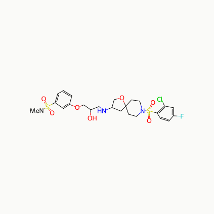 CNS(=O)(=O)c1cccc(OCC(O)CNC2COC3(CCN(S(=O)(=O)c4ccc(F)cc4Cl)CC3)C2)c1